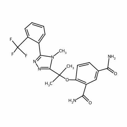 Cn1c(-c2ccccc2C(F)(F)F)nnc1C(C)(C)Oc1ccc(C(N)=O)cc1C(N)=O